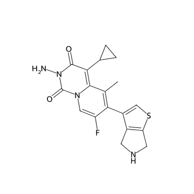 Cc1c(-c2csc3c2CNC3)c(F)cn2c(=O)n(N)c(=O)c(C3CC3)c12